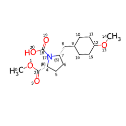 COC(=O)[C@H]1CC[C@@H](CC2CCC(OC)CC2)N1C(=O)O